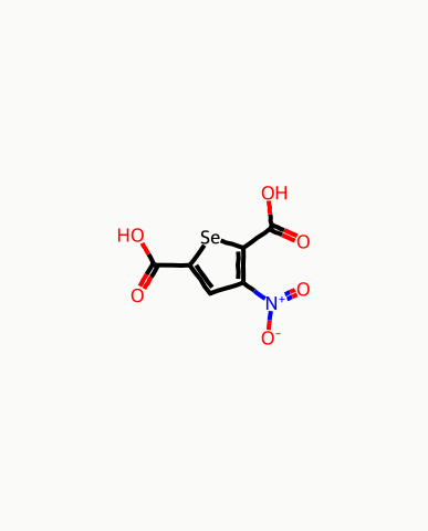 O=C(O)c1cc([N+](=O)[O-])c(C(=O)O)[se]1